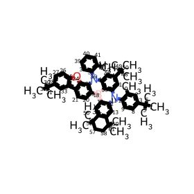 Cc1cc(C(C)(C)C)ccc1N1c2cc3c(cc2B2c4ccc5c(oc6ccc(C(C)(C)C)cc65)c4N(c4ccccc4C)c4cc(C(C)(C)C)cc1c42)C(C)(C)CCC3(C)C